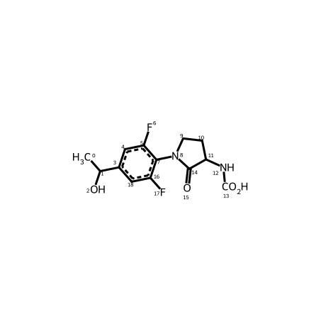 CC(O)c1cc(F)c(N2CCC(NC(=O)O)C2=O)c(F)c1